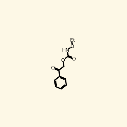 CCONC(=O)OCC(=O)c1ccccc1